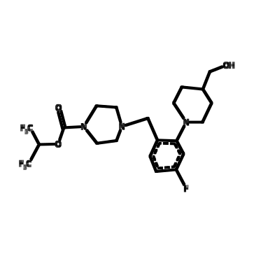 O=C(OC(C(F)(F)F)C(F)(F)F)N1CCN(Cc2ccc(F)cc2N2CCC(CO)CC2)CC1